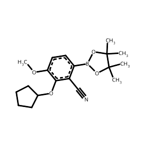 COc1ccc(B2OC(C)(C)C(C)(C)O2)c(C#N)c1OC1CCCC1